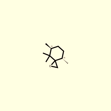 C[C@H]1CC[C@H](C)C2(CO2)C1(C)C